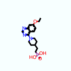 CCOc1ccc2c(N3CCC(CCP(=O)(O)O)CC3)ncnc2c1